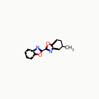 CC1C=c2nc(-c3nc4ccccc4o3)oc2=CC1